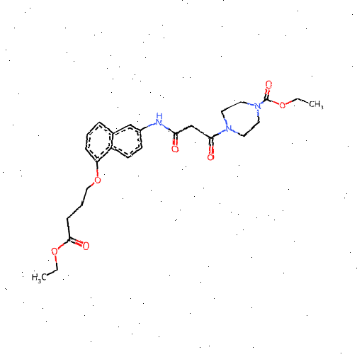 CCOC(=O)CCCOc1cccc2cc(NC(=O)CC(=O)N3CCN(C(=O)OCC)CC3)ccc12